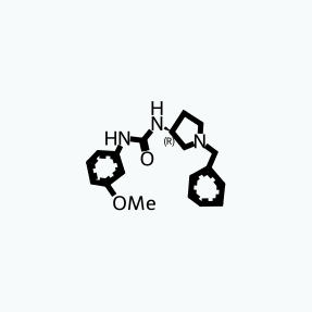 COc1cccc(NC(=O)N[C@@H]2CCN(Cc3ccccc3)C2)c1